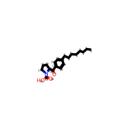 CCCCCCCCc1ccc(C(=O)C2CCCN2C(=O)O)cc1